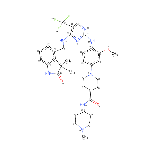 COc1cc(N2CCC(C(=O)NC3CCN(C)CC3)CC2)ccc1Nc1ncc(C(F)(F)F)c(NCc2cccc3c2C(C)(C)C(=O)N3)n1